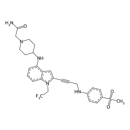 CS(=O)(=O)c1ccc(NCC#Cc2cc3c(NC4CCN(CC(N)=O)CC4)cccc3n2CC(F)(F)F)cc1